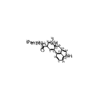 CCC[C@@H](C)NC(=O)C1C=C2c3cccc4[nH]cc(c34)C[C@H]2N(C)C1